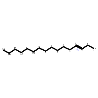 [CH2]C/C=C/CCCCCCCCCCCC